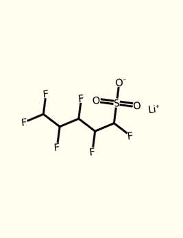 O=S(=O)([O-])C(F)C(F)C(F)C(F)C(F)F.[Li+]